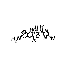 CC(C)Oc1cc(CC(N)=O)c(Cl)cc1NC(=O)Nc1cnc(C#N)cn1.Cl